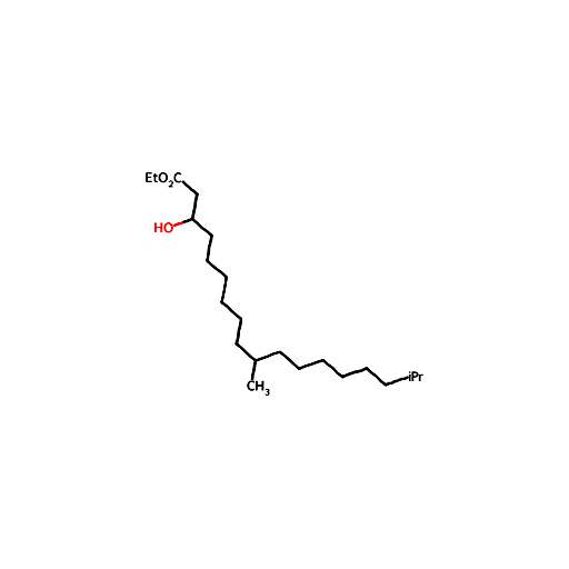 CCOC(=O)CC(O)CCCCCCC(C)CCCCCCC(C)C